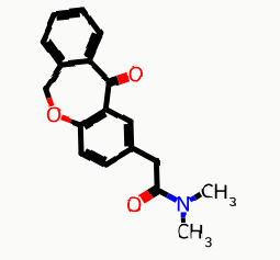 CN(C)C(=O)Cc1ccc2c(c1)C(=O)c1ccccc1CO2